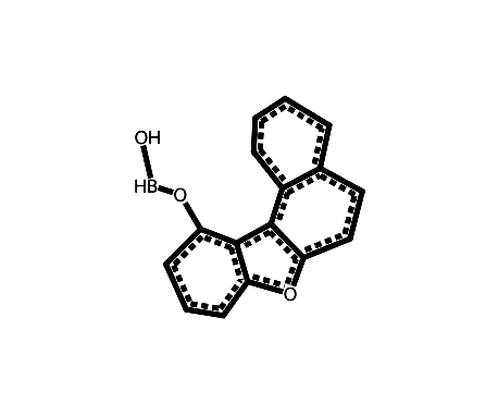 OBOc1cccc2oc3ccc4ccccc4c3c12